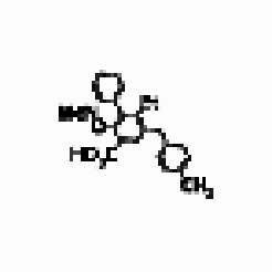 CCc1c(Cc2ccc(C)cc2)cc(C(=O)O)c(ONC)c1-c1ccccc1